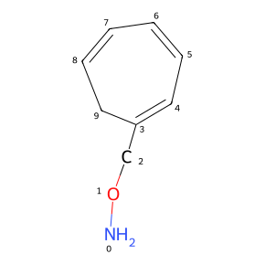 NOCC1=CC=CC=CC1